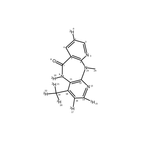 [2H]c1cnc2c(c1)C(=O)N([2H])c1c(nc([2H])c([2H])c1C([2H])([2H])[2H])N2C